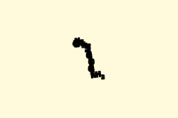 C/C(=C\C(C)(C)CSSc1ccccn1)COCCOCCOCCN